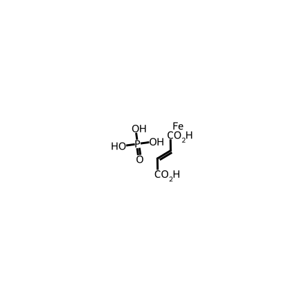 O=C(O)/C=C/C(=O)O.O=P(O)(O)O.[Fe]